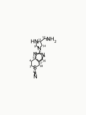 N#CB1CCc2nc(N3CNC(CN)C3)ncc2C1